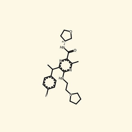 Cc1nc(NCCN2CCCC2)c(C(C)c2ccc(F)cc2)nc1C(=O)N[C@@H]1CCOC1